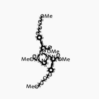 COCCOCCOCCOc1ccc(C#Cc2cc(CN3CCN(CC(=O)OC)Cc4cccc(n4)CN(Cc4cc(C#Cc5ccc(OCCOCCOCCOC)cc5)cc(C(=O)OC)n4)CC3)nc(C(=O)OC)c2)cc1